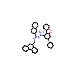 N/C(=N\C(=N/Cc1cc2ccccc2c2ccccc12)c1ccc2ccccc2c1)c1cc(-c2ccccc2)cc2oc3ccccc3c12